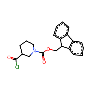 O=C(Cl)C1CCCN(C(=O)OCC2c3ccccc3-c3ccccc32)C1